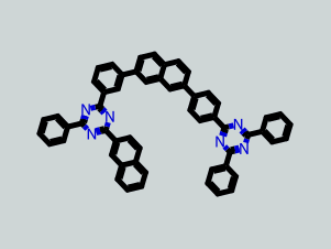 c1ccc(-c2nc(-c3ccccc3)nc(-c3ccc(-c4ccc5ccc(-c6cccc(-c7nc(-c8ccccc8)nc(-c8ccc9ccccc9c8)n7)c6)cc5c4)cc3)n2)cc1